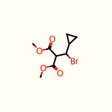 COC(=O)C(C(=O)OC)C(Br)C1CC1